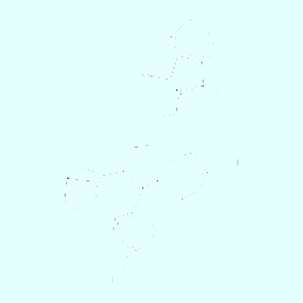 O=C1c2ccccc2C(O)N1CCCCC(C1=C2CCC(=C1)C2)=C(c1ccc(O)cc1)c1ccc(O)cc1